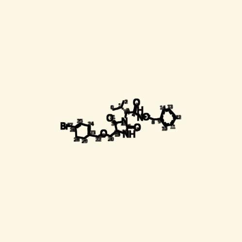 CC(C)[C@H](C(=O)NOCc1ccccc1)N1C(=O)N[C@@H](COCC2=CC=C(Br)CC2)C1=O